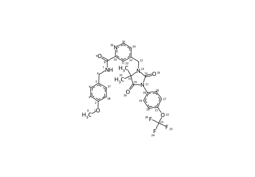 COc1ccc(CNC(=O)c2cc(CN3C(=O)N(c4ccc(OC(F)(F)F)cc4)C(=O)C3(C)C)ccn2)cc1